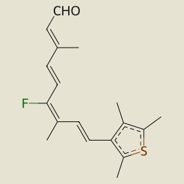 CC(/C=C/C(F)=C(C)\C=C\c1c(C)sc(C)c1C)=C\C=O